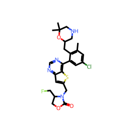 Cc1cc(Cl)cc(-c2ncnc3cc(CN4C(=O)OCC4CF)sc23)c1CC1CNCC(C)(C)O1